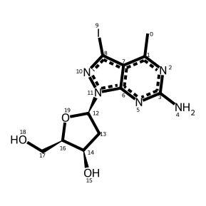 Cc1nc(N)nc2c1c(I)nn2[C@H]1C[C@@H](O)[C@@H](CO)O1